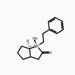 O=C1CC2CCC[C@H]2[N@+]1(O)CCc1ccccc1